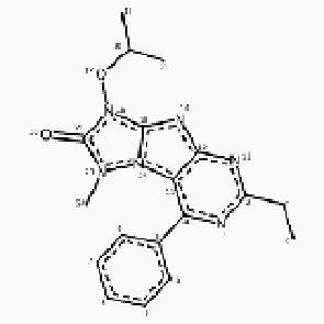 CCc1nc(-c2ccccc2)c2c(n1)nc1n(OC(C)C)c(=O)n(C)n21